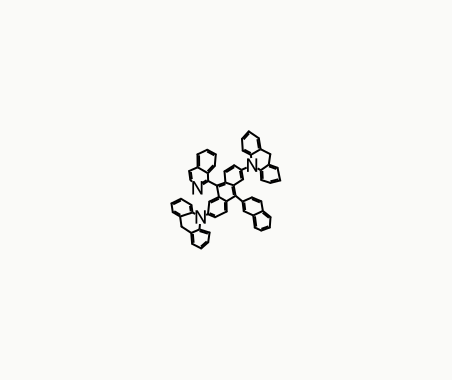 c1ccc2c(c1)Cc1ccccc1N2c1ccc2c(-c3nccc4ccccc34)c3cc(N4c5ccccc5Cc5ccccc54)ccc3c(-c3ccc4ccccc4c3)c2c1